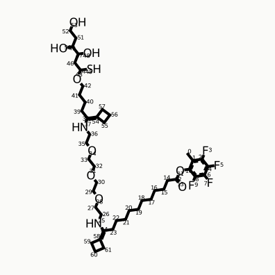 Cc1c(F)c(F)c(F)c(F)c1OC(=O)CCCCCCCCCCC(NCCOCCOCCOCCNC(CCCCOC(S)CC(O)C(O)CCO)=C1CCC1)=C1CCC1